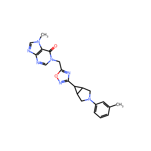 Cc1cccc(N2CC3C(C2)C3c2noc(Cn3cnc4ncn(C)c4c3=O)n2)c1